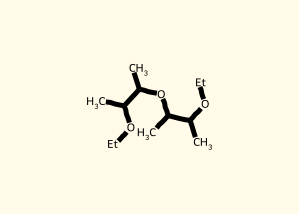 CCOC(C)C(C)OC(C)C(C)OCC